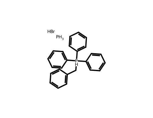 Br.P.c1ccc(C[PH](c2ccccc2)(c2ccccc2)c2ccccc2)cc1